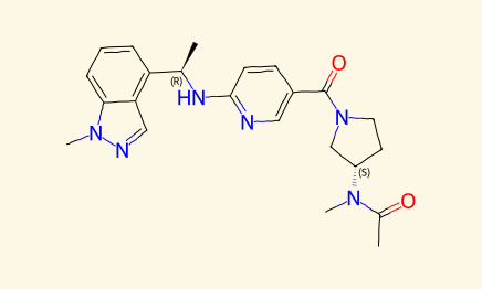 CC(=O)N(C)[C@H]1CCN(C(=O)c2ccc(N[C@H](C)c3cccc4c3cnn4C)nc2)C1